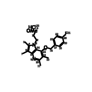 COCCn1c(C)c(C)c2nc(C)c(C)c(OCc3ccc(F)cc3)c21.Cl